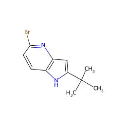 CC(C)(C)c1cc2nc(Br)ccc2[nH]1